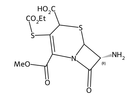 CCOC(=O)SC1=C(C(=O)OC)N2C(=O)[C@@H](N)C2SC1C(=O)O